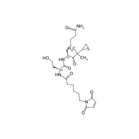 CC(C)(C(=O)[C@H](CCCCC(N)=O)NC(=O)[C@H](CCO)NC(=O)CCCCCN1C(=O)C=CC1=O)C1CS1